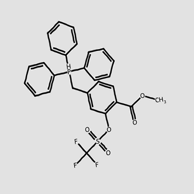 COC(=O)c1ccc(C[PH](c2ccccc2)(c2ccccc2)c2ccccc2)cc1OS(=O)(=O)C(F)(F)F